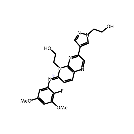 COc1cc(/N=c2\ccc3ncc(-c4cnn(CCO)c4)nc3n2CCO)c(F)c(OC)c1